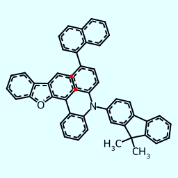 CC1(C)c2ccccc2-c2ccc(N(c3ccc(-c4cccc5ccccc45)cc3)c3ccccc3-c3cccc4c3oc3ccccc34)cc21